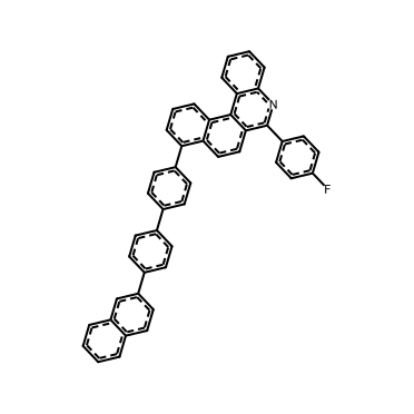 Fc1ccc(-c2nc3ccccc3c3c2ccc2c(-c4ccc(-c5ccc(-c6ccc7ccccc7c6)cc5)cc4)cccc23)cc1